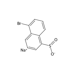 O=S([O-])c1cccc2c(Br)cccc12.[Na+]